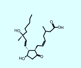 CCCCC[C@@](C)(O)/C=C/[C@H]1[C@H](O)CC(=O)[C@@H]1C/C=C\CC(C)CC(=O)O